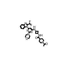 CC(=O)N1CCC(C(=O)N[C@H]2C[C@H](Nc3cc(-n4c(C(F)F)nc5ccccc54)nc(N4CCOCC4)n3)C2)CC1